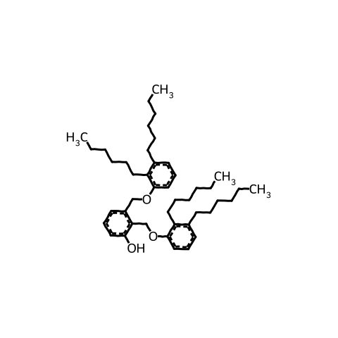 CCCCCCc1cccc(OCc2cccc(O)c2COc2cccc(CCCCCC)c2CCCCCC)c1CCCCCC